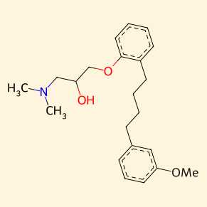 COc1cccc(CCCCc2ccccc2OCC(O)CN(C)C)c1